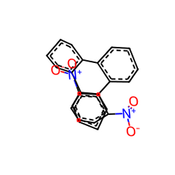 O=[N+]([O-])c1cccc([N+](=O)[O-])c1-c1ccccc1-c1ccccc1-c1ccccc1